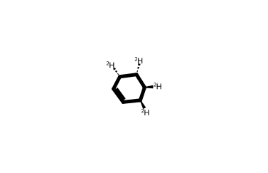 [2H][C@@H]1[C@@H]([2H])[C@@H]([2H])C=C[C@@H]1[2H]